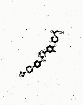 Cc1cc(-c2ncnc(Nc3ccc(N4CCN(C5COC5)CC4)cc3)n2)ccc1O[C@H]1CCN(C(=O)[C@H](C)O)C[C@H]1F